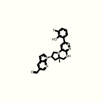 C[C@]12CNc3nnc(-c4cccc(F)c4O)cc3N1C[C@H](n1ccc3cc(C=O)cnc31)C2